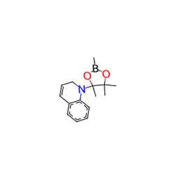 CB1OC(C)(C)C(C)(N2CC=Cc3ccccc32)O1